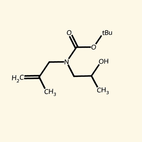 C=C(C)CN(CC(C)O)C(=O)OC(C)(C)C